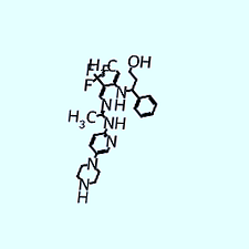 C\C=C(NC(CCO)c1ccccc1)/C(=C\N=C(/C)Nc1ccc(N2CCNCC2)cn1)C(F)(F)F